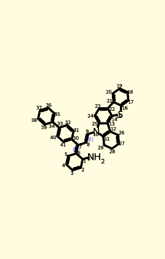 NC1C=CC=C/C1=C(/C=C/n1c2c(c3c4sc5ccccc5c4ccc31)C=CCC2)c1ccc(-c2ccccc2)cc1